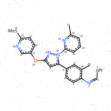 CCC/C=N\c1ccc(-c2cc(Oc3ccc(SC)nc3)nn2-c2cccc(C)n2)cc1C